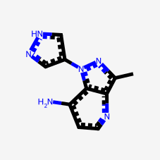 Cc1nn(-c2cn[nH]c2)c2c(N)ccnc12